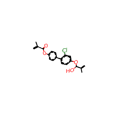 C=C(C)C(=O)Oc1ccc(-c2ccc(OC(O)C(=C)C)cc2Cl)cc1